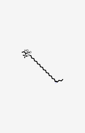 CCC/C=C\CCCCCCCCCCCCCCCCCOP(=O)(O)C(CC)[N+](C)(C)C